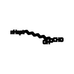 CCCCCCCCCCCCCCC(O)COC=O